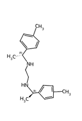 Cc1ccc([C@@H](C)NCCN[C@H](C)c2ccc(C)cc2)cc1